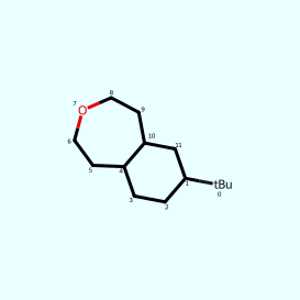 CC(C)(C)C1CCC2CCOCCC2C1